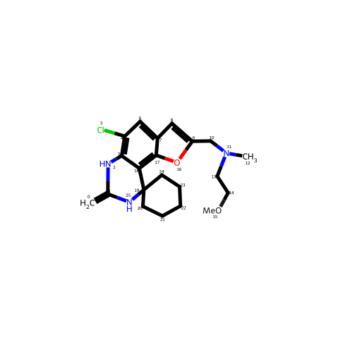 C=C1Nc2c(Cl)cc3cc(CN(C)CCOC)oc3c2C2(CCCCC2)N1